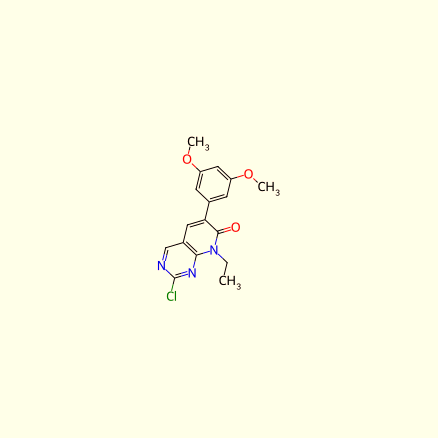 CCn1c(=O)c(-c2cc(OC)cc(OC)c2)cc2cnc(Cl)nc21